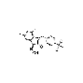 Cc1cc(C)c2c(c1)/C(=N/O)C(=O)N2Cc1ccc(S(C)(=O)=O)cc1